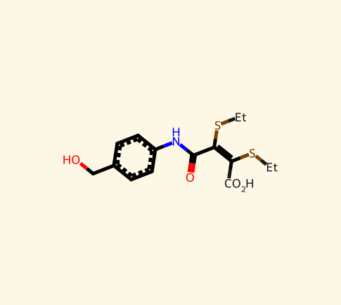 CCS/C(C(=O)O)=C(\SCC)C(=O)Nc1ccc(CO)cc1